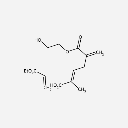 C=C(CC=C(C)C(=O)O)C(=O)OCCO.C=CC(=O)OCC